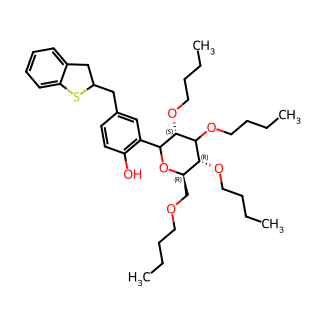 CCCCOC[C@H]1OC(c2cc(CC3Cc4ccccc4S3)ccc2O)[C@H](OCCCC)C(OCCCC)[C@@H]1OCCCC